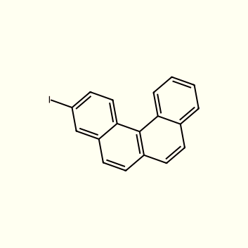 Ic1ccc2c(ccc3ccc4ccccc4c32)c1